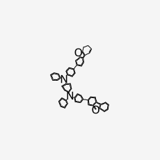 C1=Cc2c(oc3cc(-c4ccc(N(c5ccccc5)c5ccc(N(c6ccccc6)c6ccc(-c7ccc8c(c7)oc7ccccc78)cc6)cc5)cc4)ccc23)CC1